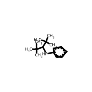 CC(C)(C)C(Pc1ccccc1)C(C)(C)C